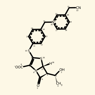 C[C@@H](O)[C@H]1C(=O)N2C(C(=O)[O-])=C(Sc3ccc(C[n+]4cccc(CC#N)c4)cc3)S[C@H]12